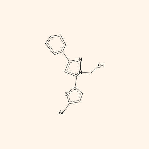 CC(=O)c1ccc(-c2cc(-c3ccccc3)nn2CS)s1